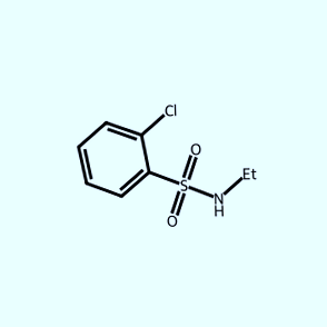 CCNS(=O)(=O)c1ccccc1Cl